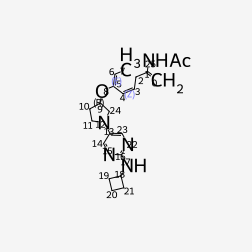 C=C(C/C=C\C(=C/C)O[C@@H]1CCN(c2cnc(NC3CCC3)nc2)C1)NC(C)=O